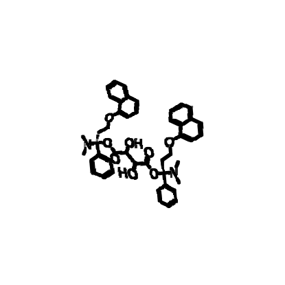 CN(C)[C@@](CCOc1cccc2ccccc12)(OC(=O)C(O)C(O)C(=O)O[C@@](CCOc1cccc2ccccc12)(c1ccccc1)N(C)C)c1ccccc1